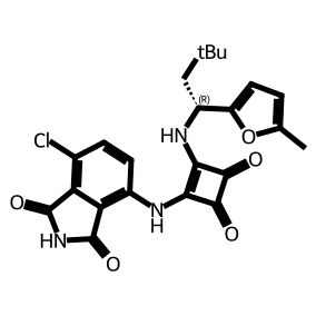 Cc1ccc([C@@H](CC(C)(C)C)Nc2c(Nc3ccc(Cl)c4c3C(=O)NC4=O)c(=O)c2=O)o1